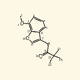 COc1cccc2c(CC(=O)C(C)(C)C)coc12